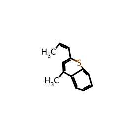 C/C=C\C1=C=C(C)c2ccccc2S1